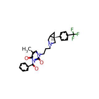 Cc1cn(CCCN2CC3C[C@]3(c3ccc(C(F)(F)F)cc3)C2)c(=O)n(C(=O)c2ccccc2)c1=O